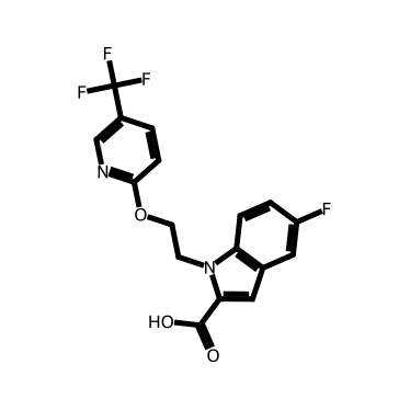 O=C(O)c1cc2cc(F)ccc2n1CCOc1ccc(C(F)(F)F)cn1